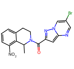 CC1c2c(cccc2[N+](=O)[O-])CCN1C(=O)c1cc2ncc(Br)cn2n1